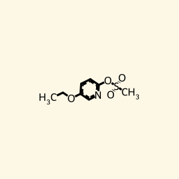 CCOc1ccc(OS(C)(=O)=O)nc1